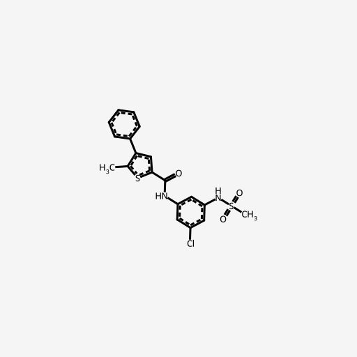 Cc1sc(C(=O)Nc2cc(Cl)cc(NS(C)(=O)=O)c2)cc1-c1ccccc1